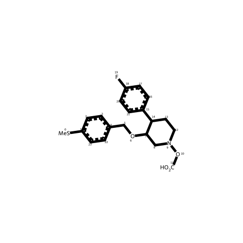 CSc1ccc(COC2CN(OC(=O)O)CCC2c2ccc(F)cc2)cc1